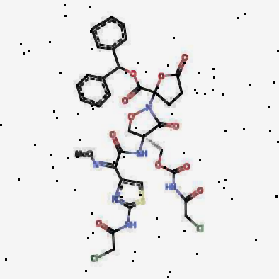 CO/N=C(\C(=O)N[C@@]1(COC(=O)NC(=O)CCl)CON(C2(C(=O)OC(c3ccccc3)c3ccccc3)CCC(=O)O2)C1=O)c1csc(NC(=O)CCl)n1